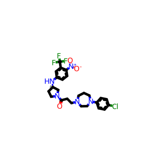 O=C(CCN1CCCN(c2ccc(Cl)cc2)CC1)N1CC[C@@H](Nc2ccc([N+](=O)[O-])c(C(F)(F)F)c2)C1